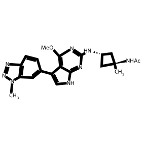 COc1nc(N[C@H]2C[C@](C)(NC(C)=O)C2)nc2[nH]cc(-c3ccc4nnn(C)c4c3)c12